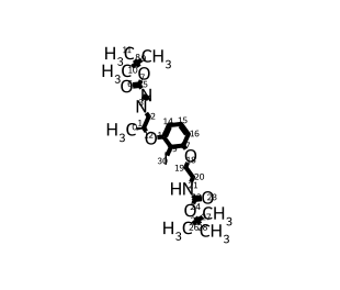 C[C@@H](CN=NC(=O)OC(C)(C)C)OC1=CC=CC(OCCNC(=O)OC(C)(C)C)C1I